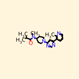 Cc1ncccc1-c1cc(N2CCC(N(C)C(=O)C(C)C)CC2)ncn1